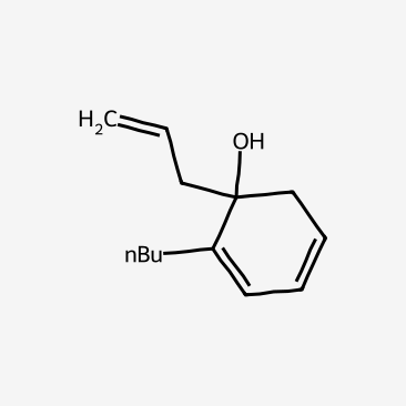 C=CCC1(O)CC=CC=C1CCCC